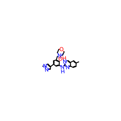 Cc1ccc2nc(Nc3cc(C[N+]4(O)CCOCC4)cc(-c4cnn(C)c4)c3)ncc2c1